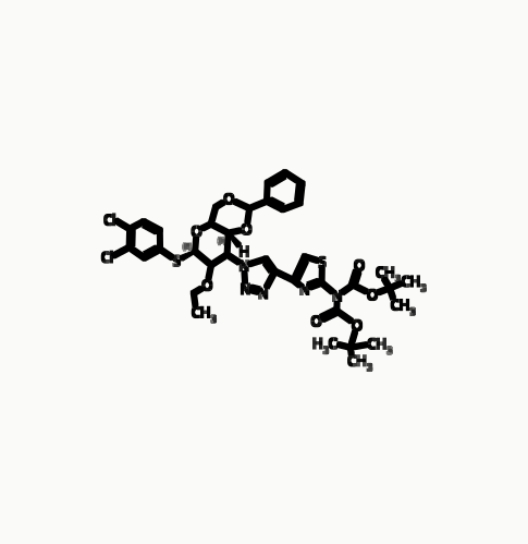 CCOC1C(n2cc(-c3csc(N(C(=O)OC(C)(C)C)C(=O)OC(C)(C)C)n3)nn2)[C@H]2OC(c3ccccc3)OCC2O[C@@H]1Sc1ccc(Cl)c(Cl)c1